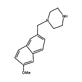 COc1ccc2cc(CN3CCNCC3)ccc2c1